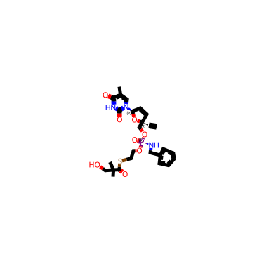 C#C[C@@]1(CO[P@@](=O)(NCc2ccccc2)OCCSC(=O)C(C)(C)CO)C=C[C@H](n2cc(C)c(=O)[nH]c2=O)O1